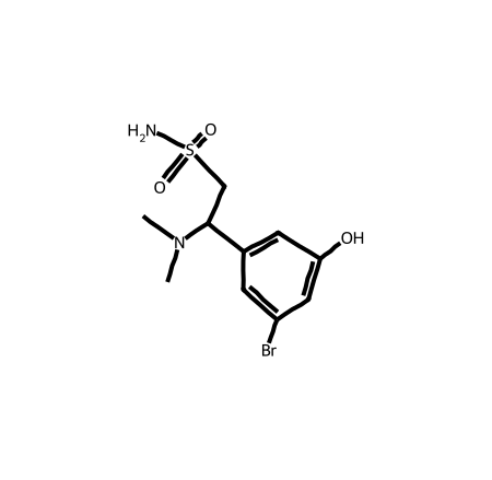 CN(C)C(CS(N)(=O)=O)c1cc(O)cc(Br)c1